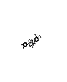 COc1ccc(S(=O)(=O)N2C(=O)CN(c3ccc(C)c(C)c3)C2=O)cc1OC